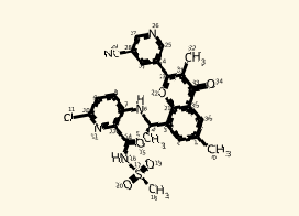 Cc1cc([C@@H](C)Nc2ccc(Cl)nc2C(=O)NS(C)(=O)=O)c2oc(-c3cncc(C#N)c3)c(C)c(=O)c2c1